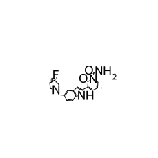 NC(=O)n1c[c]cc(-c2cc3cc(CN4CC[C@@H](F)C4)ccc3[nH]2)c1=O